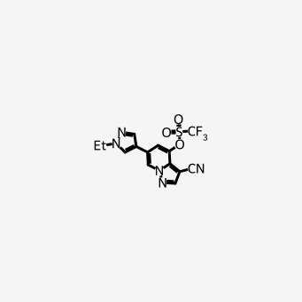 CCn1cc(-c2cc(OS(=O)(=O)C(F)(F)F)c3c(C#N)cnn3c2)cn1